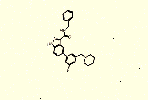 O=C(NCc1ccccc1)c1n[nH]c2ccc(-c3cc(F)cc(CN4CCCCC4)c3)cc12